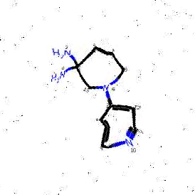 NC1(N)CCCN(c2ccncc2)C1